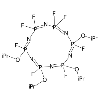 CC(C)OP1(F)=NP(F)(F)=NP(F)(F)=NP(F)(OC(C)C)=NP(F)(OC(C)C)=NP(F)(OC(C)C)=N1